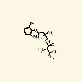 CC(C)c1cccc(C(C)C)c1OC(=O)CC(C)(C)CNC(=O)[C@@H](N)C(C)O